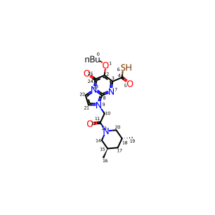 CCCCOc1c(C(=O)S)nc2n(CC(=O)N3C[C@H](C)C[C@@H](C)C3)ccn2c1=O